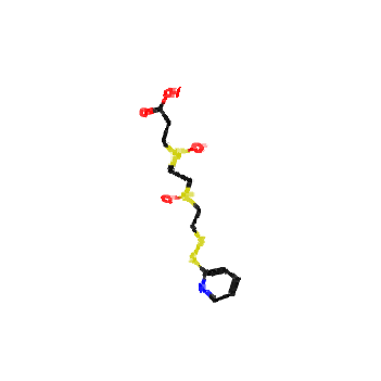 O=C(O)CC[S+]([O-])CC[S+]([O-])CCSSc1ccccn1